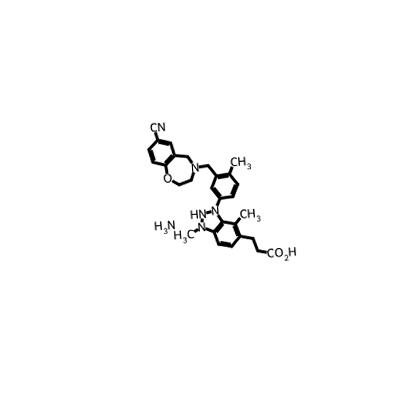 Cc1ccc(N2NN(C)c3ccc(CCC(=O)O)c(C)c32)cc1CN1CCOc2ccc(C#N)cc2C1.N